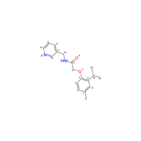 Cc1ccc(OCC(=O)NCc2cccnc2)c(C(C)C)c1